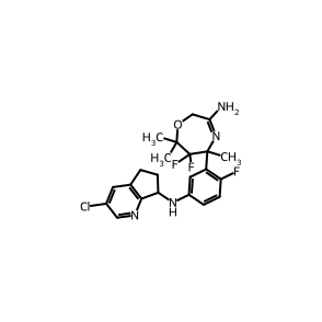 CC1(C)OCC(N)=NC(C)(c2cc(NC3CCc4cc(Cl)cnc43)ccc2F)C1(F)F